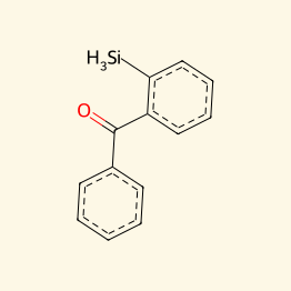 O=C(c1ccccc1)c1ccccc1[SiH3]